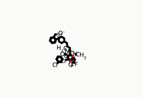 CN(C[C@](CCCC1CCC2(CC1)c1ccccc1C[S+]2[O-])(c1ccc(Cl)c(Cl)c1)N(C)C(=O)Oc1ccc(Cl)cc1)C(=O)CC(F)(F)F